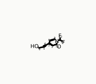 O=c1cc(C#CCO)ccn1C(F)F